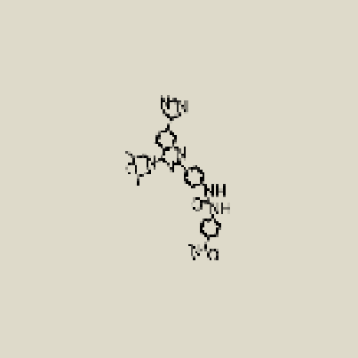 CC1CN(c2nc(-c3ccc(NC(=O)Nc4ccc(C(=O)N(C)C)cc4)cc3)nc3cc(-c4cncnc4)ccc23)CC(C)O1